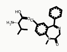 CC(C)[C@H](N)C(=O)O.CN1C(=O)CN=C(c2ccccc2)c2cc(Cl)ccc21